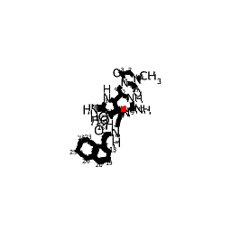 CN1CC(=O)N(CC2NC(=N)N3CC(NC(=O)c4cccc5c4CCCC5)C(O)(O)[C@@]34NC(=N)NC24)C1=O